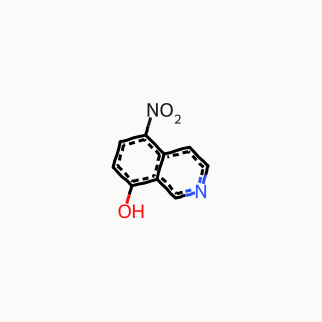 O=[N+]([O-])c1ccc(O)c2cnccc12